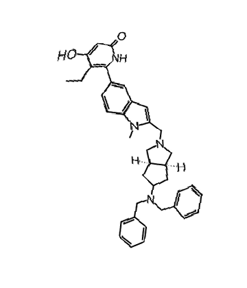 CCc1c(O)cc(=O)[nH]c1-c1ccc2c(c1)cc(CN1C[C@H]3CC(N(Cc4ccccc4)Cc4ccccc4)C[C@H]3C1)n2C